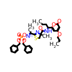 C=CCOc1cc(C(CCC)NC(=O)C2(C)CSC(/C(C)=N/OP(=O)(OCc3ccccc3)OCc3ccccc3)=N2)oc(=O)c1